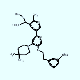 COc1cccc(CCOc2cnc(-c3cnc(C)c(C(OC(C)(C)C)C(=O)O)c3)cc2N2CCC(C)(C)CC2)c1